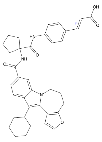 O=C(O)/C=C/c1ccc(NC(=O)C2(NC(=O)c3ccc4c(C5CCCCC5)c5n(c4c3)CCCc3occc3-5)CCCC2)cc1